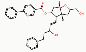 O=C(O[C@@H]1C[C@@H]2OC(CO)C[C@@H]2[C@H]1/C=C/[C@@H](O)CCc1ccccc1)c1ccc(-c2ccccc2)cc1